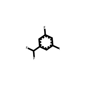 Fc1cc(I)cc(C(F)F)c1